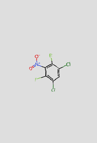 O=[N+]([O-])c1c(F)c(Cl)cc(Cl)c1F